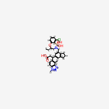 CC[C@@H]1CN(Cc2cc(C(CC(=O)O)c3ccc4c(nnn4C)c3C)cc3c2CCC3)S(O)(O)c2c(Cl)cccc2O1